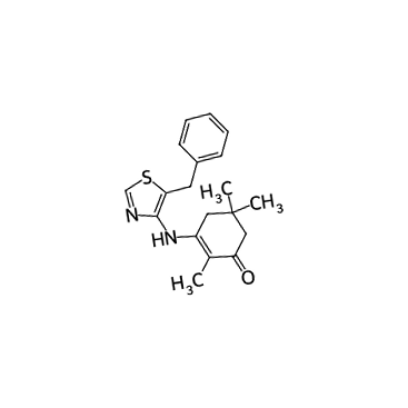 CC1=C(Nc2ncsc2Cc2ccccc2)CC(C)(C)CC1=O